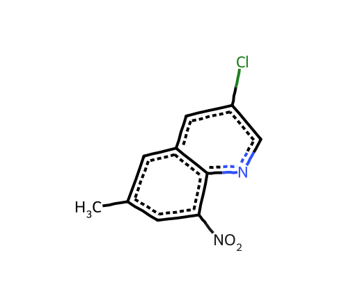 Cc1cc([N+](=O)[O-])c2ncc(Cl)cc2c1